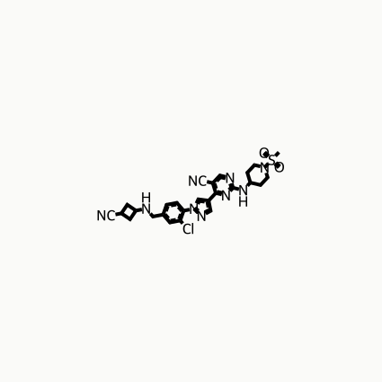 CS(=O)(=O)N1CCC(Nc2ncc(C#N)c(-c3cnn(-c4ccc(CNC5CC(C#N)C5)cc4Cl)c3)n2)CC1